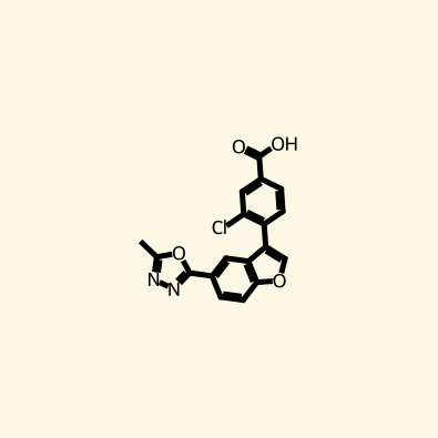 Cc1nnc(-c2ccc3occ(-c4ccc(C(=O)O)cc4Cl)c3c2)o1